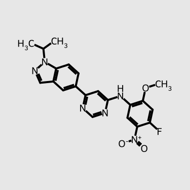 COc1cc(F)c([N+](=O)[O-])cc1Nc1cc(-c2ccc3c(cnn3C(C)C)c2)ncn1